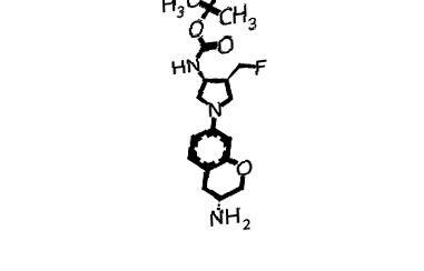 CC(C)(C)OC(=O)N[C@@H]1CN(c2ccc3c(c2)OC[C@H](N)C3)C[C@@H]1CF